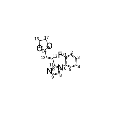 Fc1ccccc1-n1ccnc1C=CC1OCCO1